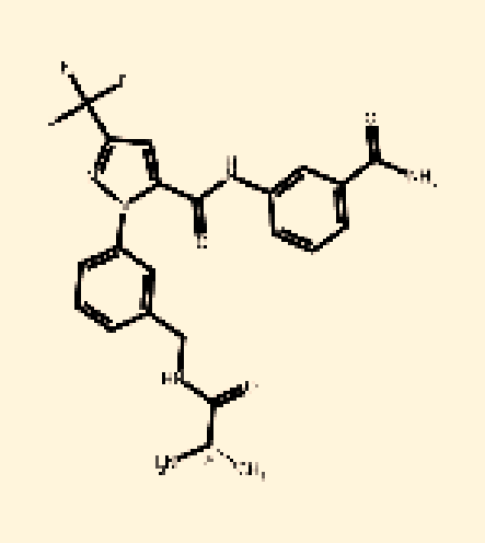 C[C@H](N)C(=O)NCc1cccc(-n2nc(C(F)(F)F)cc2C(=O)Nc2cccc(C(N)=O)c2)c1